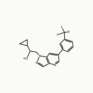 OC(Cn1ncc2ncc(-c3cccc(C(F)(F)F)c3)cc21)C1CC1